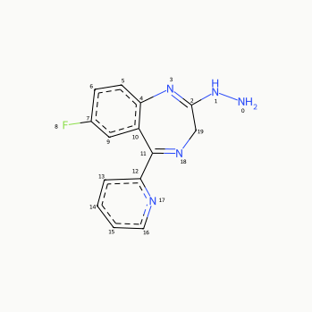 NNC1=Nc2ccc(F)cc2C(c2ccccn2)=NC1